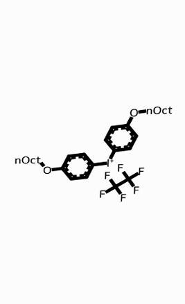 CCCCCCCCOc1ccc([I+]c2ccc(OCCCCCCCC)cc2)cc1.FC(F)(F)C(F)(F)F